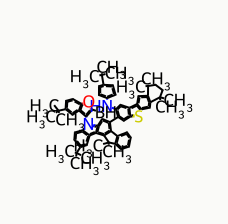 CC(C)(C)c1ccc(Nc2cc3c(cc2-c2c4c(c5c6cc(C(C)(C)C)ccc6n6c5c2Bc2oc5ccc(C(C)(C)C)cc5c2-6)C(C)(C)c2ccccc2-4)sc2cc4c(cc23)C(C)(C)CCC4(C)C)cc1